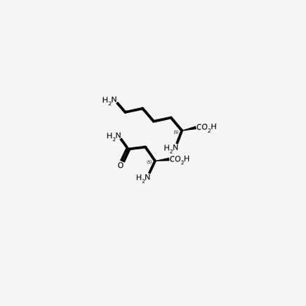 NC(=O)C[C@H](N)C(=O)O.NCCCC[C@H](N)C(=O)O